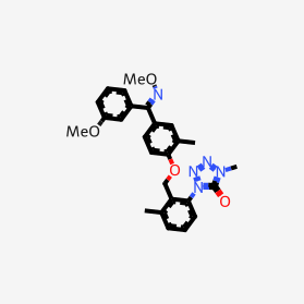 CO/N=C(\c1cccc(OC)c1)c1ccc(OCc2c(C)cccc2-n2nnn(C)c2=O)c(C)c1